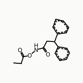 CCC(=O)ONC(=O)CC(c1ccccc1)c1ccccc1